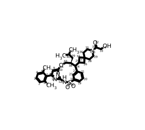 Cc1cccc(C)c1-c1cc2nc(n1)NS(=O)(=O)c1cccc(c1)C(C1CC3(CCN(C(=O)CO)CC3)C1)[C@H](CC(C)C)CO2